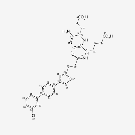 NC(=O)[C@H](CCC(=O)O)NC(=O)[C@H](CCCC(=O)O)NC(=O)CCc1cc(-c2ccc(-c3cccc(Cl)c3)cc2)no1